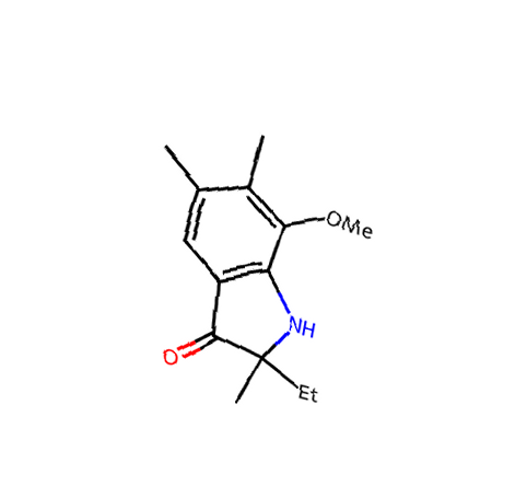 CCC1(C)Nc2c(cc(C)c(C)c2OC)C1=O